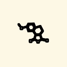 COc1ccc2c(c1)C1=C(CC2)C(=O)OC1=O